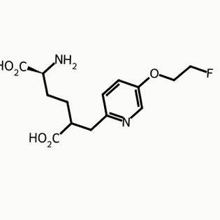 N[C@@H](CCC(Cc1ccc(OCCF)cn1)C(=O)O)C(=O)O